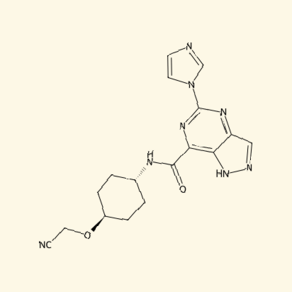 N#CCO[C@H]1CC[C@H](NC(=O)c2nc(-n3ccnc3)nc3cn[nH]c23)CC1